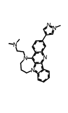 CN(C)CCN1CCCn2c3ccccc3c3nc4cc(-c5cnn(C)c5)ccc4c1c32